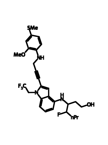 CCCC(F)C(CCO)Nc1cccc2c1cc(C#CCNc1ccc(SC)cc1OC)n2CC(F)(F)F